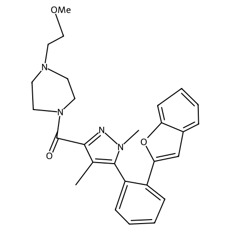 COCCN1CCN(C(=O)c2nn(C)c(-c3ccccc3-c3cc4ccccc4o3)c2C)CC1